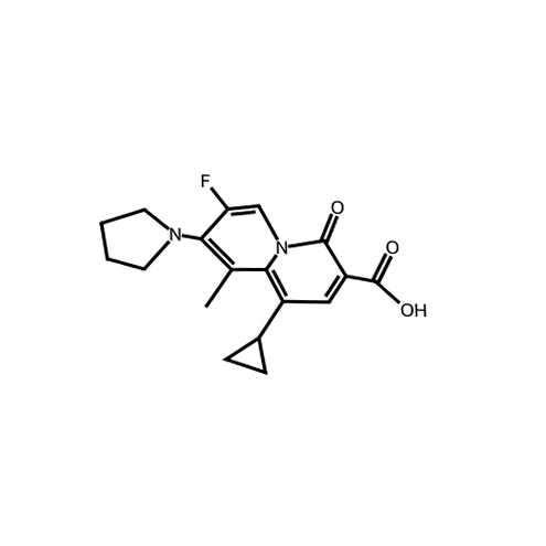 Cc1c(N2CCCC2)c(F)cn2c(=O)c(C(=O)O)cc(C3CC3)c12